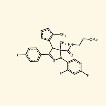 COCCNC(=O)C1(C)C(c2cccn2C)C(c2ccc(F)cc2)=NN1c1ccc(F)cc1F